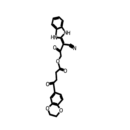 N#CC(C(=O)COC(=O)CCC(=O)c1ccc2c(c1)OCCO2)=C1Nc2ccccc2N1